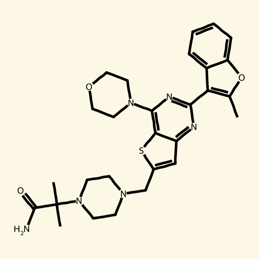 Cc1oc2ccccc2c1-c1nc(N2CCOCC2)c2sc(CN3CCN(C(C)(C)C(N)=O)CC3)cc2n1